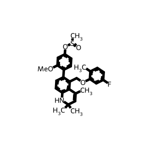 COc1cc(OS(C)=O)ccc1-c1ccc2c(c1COc1cc(F)ccc1C)C(C)=CC(C)(C)N2